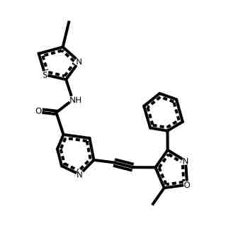 Cc1csc(NC(=O)c2ccnc(C#Cc3c(-c4ccccc4)noc3C)c2)n1